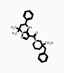 CC1(C)CC(c2ccccc2)Nc2c(C(=O)N3CCCC(Cc4ccccc4)(C(=O)O)C3)cnn21